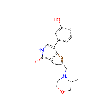 CC1COCCN1Cc1cc2c(=O)n(C)cc(-c3cccc(O)c3)c2s1